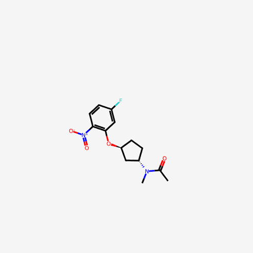 CC(=O)N(C)[C@H]1CC[C@H](Oc2cc(F)ccc2[N+](=O)[O-])C1